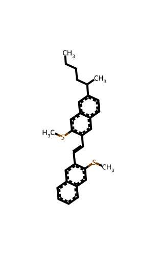 CCCCC(C)c1ccc2cc(C=Cc3cc4ccccc4cc3SC)c(SC)cc2c1